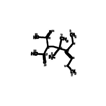 CCC=C(CC)C(C)(C)C(C(=O)O)C(=O)O